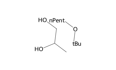 CC(O)CO.CCCCCOC(C)(C)C